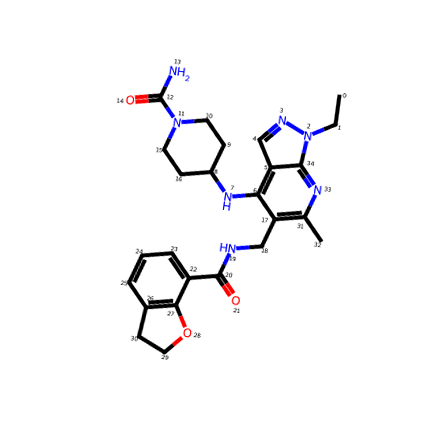 CCn1ncc2c(NC3CCN(C(N)=O)CC3)c(CNC(=O)c3cccc4c3OCC4)c(C)nc21